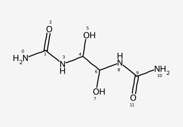 NC(=O)NC(O)C(O)NC(N)=O